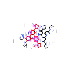 CN1CCCC1c1ccc(-c2cc(C3CCCN3C)cnc2-c2cc(C3CCCN3C)cnc2-c2cc(C3CCCN3C)cnc2-c2cc(C3CCCN3C)cnc2-c2cc(C3CCCN3C)cnc2-c2cc(C3CCCN3C)cnc2-c2cc(C3CCCN3C)cnc2-c2ncc(C3CCCN3C)cc2C(N)=O)nc1